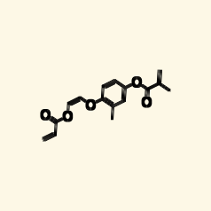 C=CC(=O)O/C=C\Oc1ccc(OC(=O)C(=C)C)cc1C